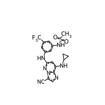 CS(=O)(=O)Nc1cc(Nc2cc(NC3CC3)c3ncc(C#N)n3n2)cc(C(F)(F)F)c1